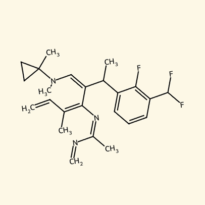 C=C/C(C)=C(/N=C(/C)N=C)C(=C/N(C)C1(C)CC1)\C(C)c1cccc(C(F)F)c1F